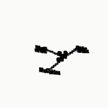 CCCCCCC(C/C=C/CCCCCCCC(=O)COCC(COCC(=O)CCCCCCCCCCC(CCCCCC)OC)OCC(=O)CCCCCCCCCCC(CCCCCC)OC)OC